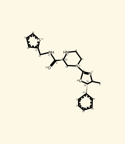 CC1N=C(N2CCN[C@H](C(=O)NCc3cccs3)C2)O[C@H]1c1ccccc1